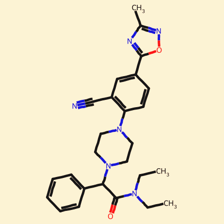 CCN(CC)C(=O)C(c1ccccc1)N1CCN(c2ccc(-c3nc(C)no3)cc2C#N)CC1